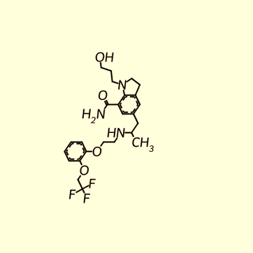 CC(Cc1cc2c(c(C(N)=O)c1)N(CCCO)CC2)NCCOc1ccccc1OCC(F)(F)F